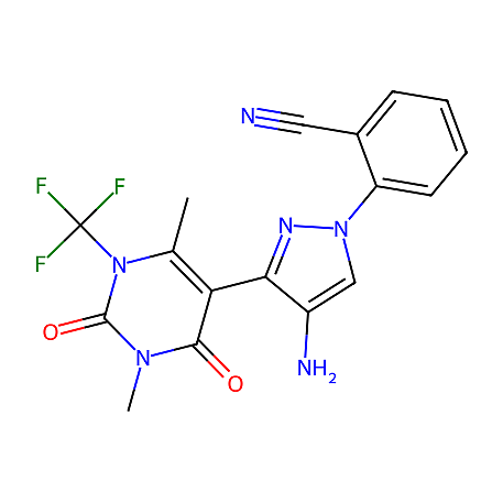 Cc1c(-c2nn(-c3ccccc3C#N)cc2N)c(=O)n(C)c(=O)n1C(F)(F)F